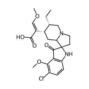 CC[C@@H]1CN2CCC3(Nc4ccc(Cl)c(OC)c4C3=O)C2C[C@@H]1/C(=C\OC)C(=O)O